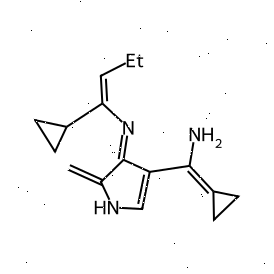 C=C1NC=C(C(N)=C2CC2)/C1=N/C(=C\CC)C1CC1